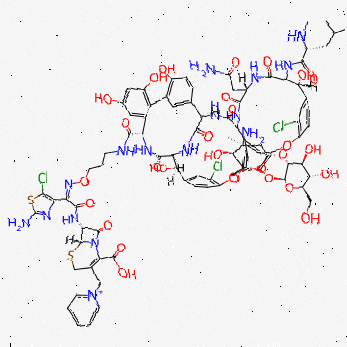 CN[C@H](CC(C)C)C(=O)NC1C(=O)N[C@@H](CC(N)=O)C(=O)NC2C(=O)N[C@H]3C(=O)N[C@H](C(=O)N[C@H](C(=O)NCCCO/N=C(\C(=O)N[C@@H]4C(=O)N5C(C(=O)O)=C(C[n+]6ccccc6)CS[C@H]45)c4nc(N)sc4Cl)c4cc(O)cc(O)c4-c4cc3ccc4O)[C@H](O)c3ccc(c(Cl)c3)Oc3cc2cc(c3O[C@@H]2O[C@H](CO)[C@@H](O)[C@H](O)[C@H]2O[C@H]2C[C@](C)(N)[C@H](O)[C@H](C)O2)Oc2ccc(cc2Cl)[C@H]1O